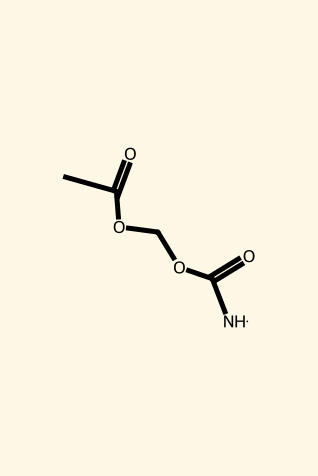 CC(=O)OCOC([NH])=O